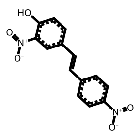 O=[N+]([O-])c1ccc(C=Cc2ccc(O)c([N+](=O)[O-])c2)cc1